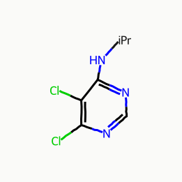 CC(C)Nc1ncnc(Cl)c1Cl